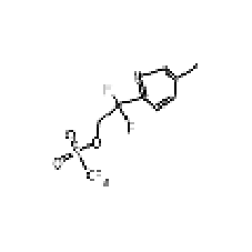 Cc1ccc(C(F)(F)COS(=O)(=O)C(F)(F)F)nc1